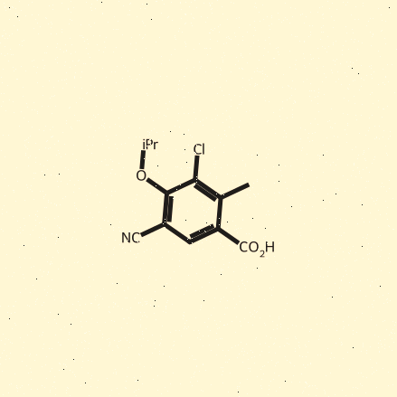 Cc1c(C(=O)O)cc(C#N)c(OC(C)C)c1Cl